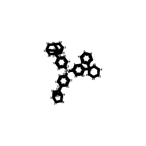 c1ccc(C2(c3ccc(N(c4ccc(C5CC6CCC5C6)cc4)c4ccc(C56CC7CC(CC(C7)C5)C6)cc4)cc3)CCCCC2)cc1